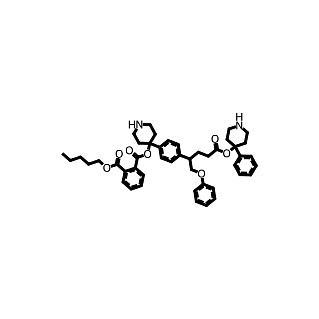 CCCCCOC(=O)c1ccccc1C(=O)OC1(c2ccc(C(CCC(=O)OC3(c4ccccc4)CCNCC3)COc3ccccc3)cc2)CCNCC1